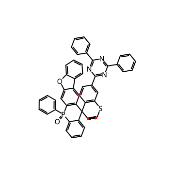 O=P1(c2ccccc2)c2ccccc2C2(c3ccccc3Sc3cc(-c4nc(-c5ccccc5)nc(-c5ccccc5)n4)ccc32)c2cc3c(cc21)oc1ccccc13